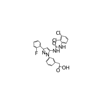 O=C(O)Cc1cccc(-n2nc(-c3ccccc3F)cc2NC(=O)Nc2cccc(Cl)c2Cl)c1